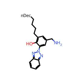 CCCCCCCCCCCCCCc1cc(CN)cc(-n2nc3ccccc3n2)c1O